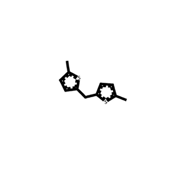 Cc1ccc(Cc2ccc(C)s2)s1